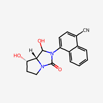 N#Cc1ccc(N2C(=O)N3CC[C@H](O)[C@@H]3C2O)c2ccccc12